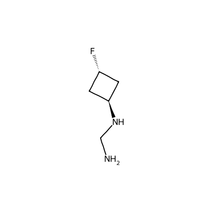 NCN[C@H]1C[C@H](F)C1